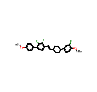 CCCCOc1ccc(-c2ccc(/C=C/C3CCC(c4ccc(OCCCC)c(F)c4)CC3)c(F)c2F)cc1